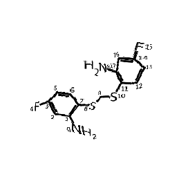 Nc1cc(F)ccc1SCSc1ccc(F)cc1N